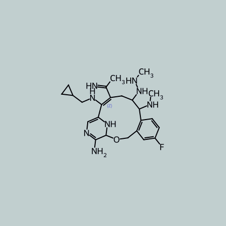 CNNC1C/C(C(C)=N)=C(/NCC2CC2)C2=CN=C(N)C(N2)OCc2cc(F)ccc2C1NC